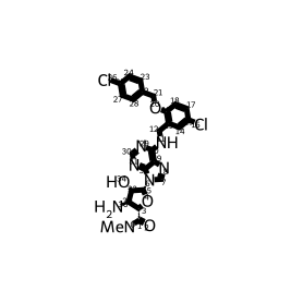 CNC(=O)[C@H]1O[C@@H](n2cnc3c(NCc4cc(Cl)ccc4OCc4ccc(Cl)cc4)ncnc32)[C@H](O)[C@@H]1N